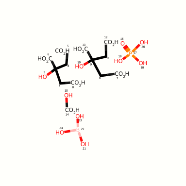 O=C(O)CC(O)(CC(=O)O)C(=O)O.O=C(O)CC(O)(CC(=O)O)C(=O)O.O=C(O)O.O=P(O)(O)O.OB(O)O